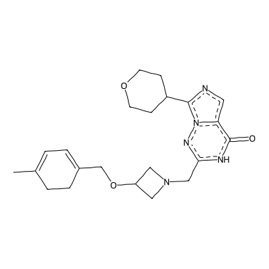 CC1=CC=C(COC2CN(Cc3nn4c(C5CCOCC5)ncc4c(=O)[nH]3)C2)CC1